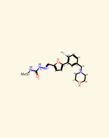 CSNC(=O)N/N=C/c1ccc(-c2cc(CN3CCOCC3)ccc2F)o1